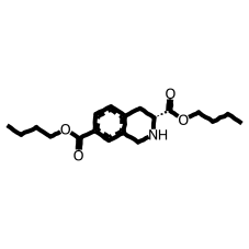 CCCCOC(=O)c1ccc2c(c1)CN[C@@H](C(=O)OCCCC)C2